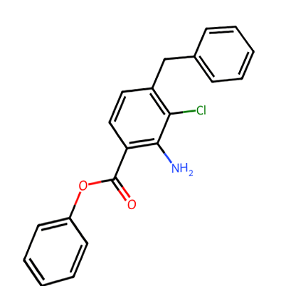 Nc1c(C(=O)Oc2ccccc2)ccc(Cc2ccccc2)c1Cl